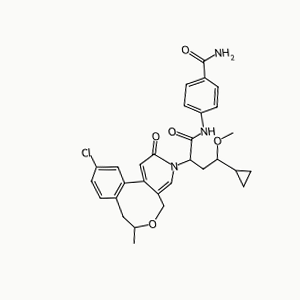 COC(CC(C(=O)Nc1ccc(C(N)=O)cc1)n1cc2c(cc1=O)-c1cc(Cl)ccc1CC(C)OC2)C1CC1